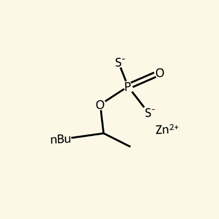 CCCCC(C)OP(=O)([S-])[S-].[Zn+2]